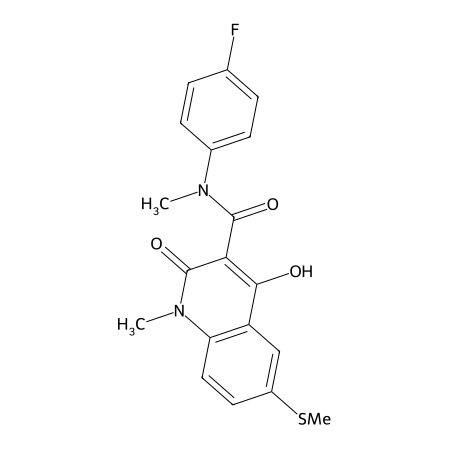 CSc1ccc2c(c1)c(O)c(C(=O)N(C)c1ccc(F)cc1)c(=O)n2C